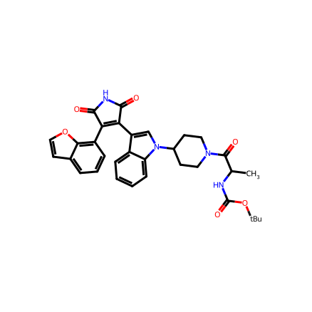 CC(NC(=O)OC(C)(C)C)C(=O)N1CCC(n2cc(C3=C(c4cccc5ccoc45)C(=O)NC3=O)c3ccccc32)CC1